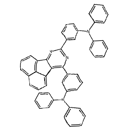 c1ccc(N(c2ccccc2)c2cccc(-c3nc(-c4cccc(N(c5ccccc5)c5ccccc5)c4)c4c(n3)-c3cccc5cccc-4c35)c2)cc1